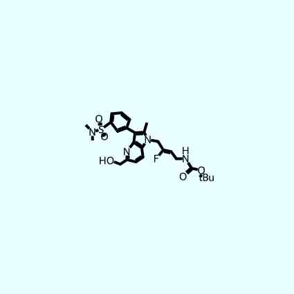 Cc1c(-c2cccc(S(=O)(=O)N(C)C)c2)c2nc(CO)ccc2n1C/C(F)=C/CNC(=O)OC(C)(C)C